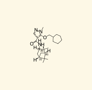 C[C@@H]1[C@H]2C[C@@H](C[C@H]1NC(=O)c1cnn(C)c1OCC1CCCCC1)C2(C)C